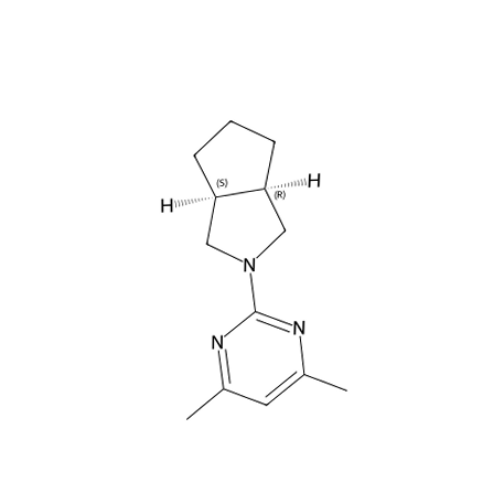 Cc1cc(C)nc(N2C[C@H]3CCC[C@H]3C2)n1